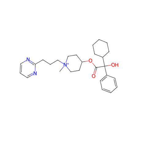 C[N+]1(CCCc2ncccn2)CCC(OC(=O)C(O)(c2ccccc2)C2CCCCC2)CC1